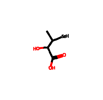 CC([SeH])C(O)C(=O)O